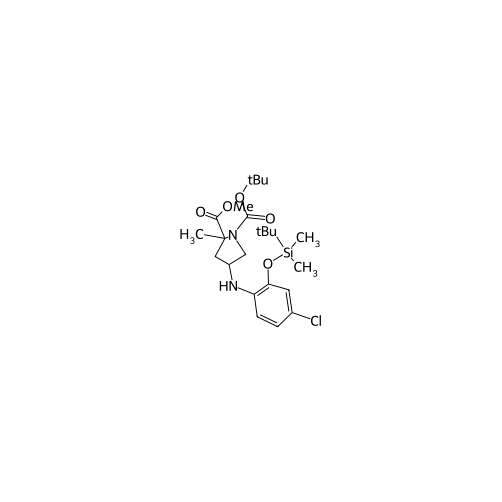 COC(=O)C1(C)CC(Nc2ccc(Cl)cc2O[Si](C)(C)C(C)(C)C)CN1C(=O)OC(C)(C)C